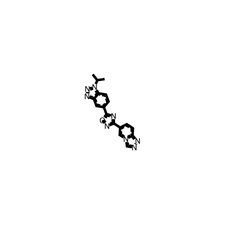 CC(C)n1nnc2cc(-c3nc(-c4ccc5nncn5c4)no3)ccc21